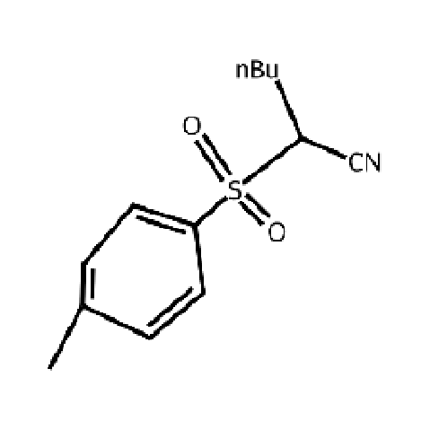 CCCCC(C#N)S(=O)(=O)c1ccc(C)cc1